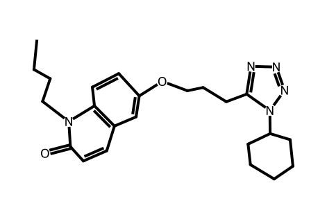 CCCCn1c(=O)ccc2cc(OCCCc3nnnn3C3CCCCC3)ccc21